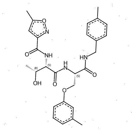 Cc1ccc(CNC(=O)[C@H](COc2cccc(C)c2)NC(=O)[C@@H](NC(=O)c2cc(C)on2)[C@@H](C)O)cc1